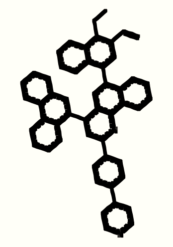 C=Cc1cc(-c2cc3c(-c4cc5ccccc5c5ccccc45)cc(-c4ccc(-c5ccncc5)cc4)nc3c3ccccc23)c2ccccc2c1CC